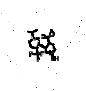 COC(=O)C1CCN(S)CC1C1CN(C(C)C)CCC1C(F)(F)F